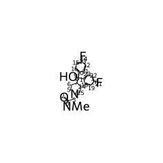 CNC(=O)CN1CCC(C(O)(c2ccc(F)cc2)c2ccc(F)cc2)CC1